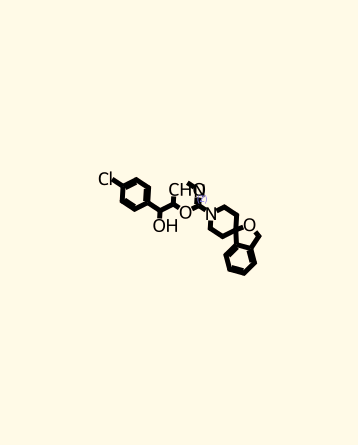 C/N=C(\OC(C=O)C(O)c1ccc(Cl)cc1)N1CCC2(CC1)OCc1ccccc12